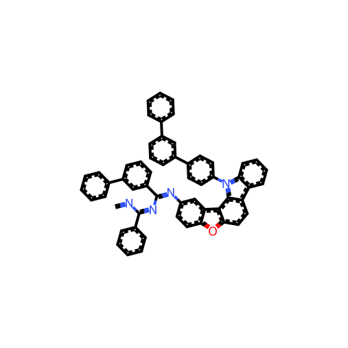 C=N/C(=N\C(=N/c1ccc2oc3ccc4c5ccccc5n(-c5ccc(-c6cccc(-c7ccccc7)c6)cc5)c4c3c2c1)c1cccc(-c2ccccc2)c1)c1ccccc1